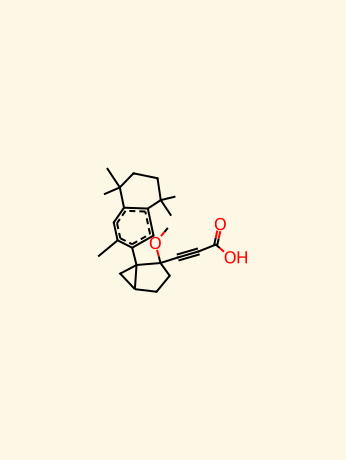 COC1(C#CC(=O)O)CCC2CC21c1cc2c(cc1C)C(C)(C)CCC2(C)C